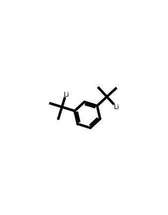 [Li][C](C)(C)c1cccc([C]([Li])(C)C)c1